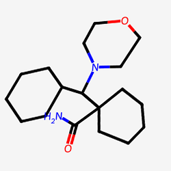 NC(=O)C1(C(C2CCCCC2)N2CCOCC2)CCCCC1